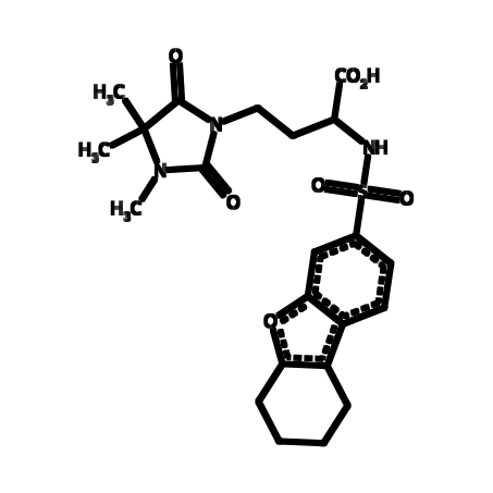 CN1C(=O)N(CCC(NS(=O)(=O)c2ccc3c4c(oc3c2)CCCC4)C(=O)O)C(=O)C1(C)C